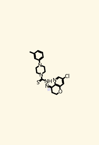 Cc1cccc(N2CCN(C(=S)N/N=C3/CCOc4cc(Cl)cnc43)CC2)c1